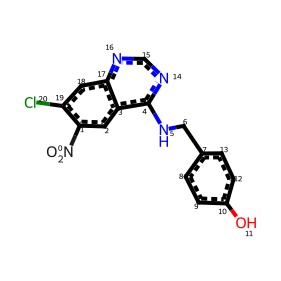 O=[N+]([O-])c1cc2c(NCc3ccc(O)cc3)ncnc2cc1Cl